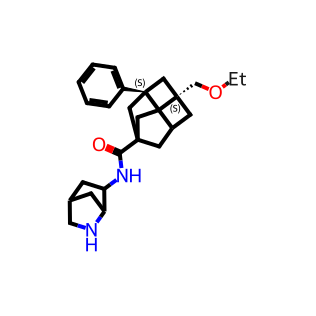 CCOC[C@]12CC3CC4(C(=O)NC5CC6CNC5C6)CC31[C@](c1ccccc1)(C4)C2